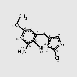 COc1cc(Cc2cnc(Cl)s2)c(N)c(N)n1